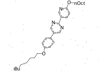 CCCCCCCCOc1ccc(-c2ncc(-c3ccc(OCCCCCC(C)CC)cc3)cn2)cn1